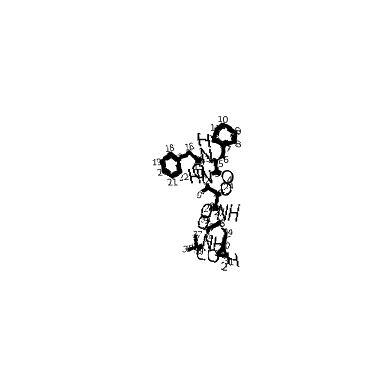 CC(NC(=O)[C@H](Cc1ccccc1)NC(=O)Cc1ccccc1)C(=O)C(=O)N[C@@H](CC1CC1)C(=O)NC(C)(C)C(=O)O